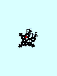 CCC1C=C(C(C)(C)C)C=[C]1[Zr](=[C](c1cccc(C(F)(F)F)c1)c1cccc(C(F)(F)F)c1)[CH]1c2ccc(C(C)(C)C)cc2-c2cc(C(C)(C)C)ccc21